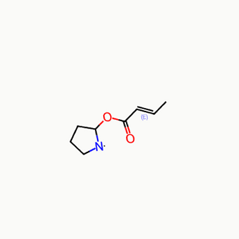 C/C=C/C(=O)OC1CCC[N]1